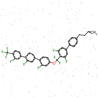 C=CCCc1ccc(-c2cc(F)c(C(F)(F)Oc3ccc(-c4ccc(-c5ccc(C(F)(F)F)c(F)c5)c(F)c4)c(F)c3)c(F)c2)cc1